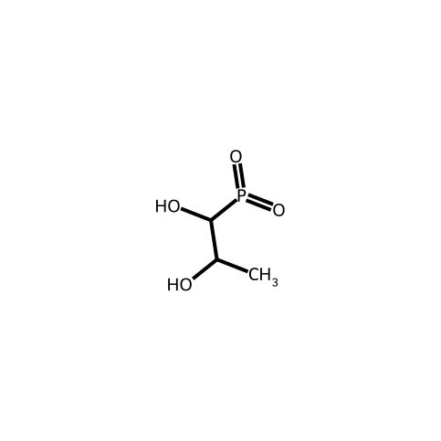 CC(O)C(O)P(=O)=O